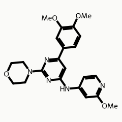 COc1cc(Nc2cc(-c3ccc(OC)c(OC)c3)nc(N3CCOCC3)n2)ccn1